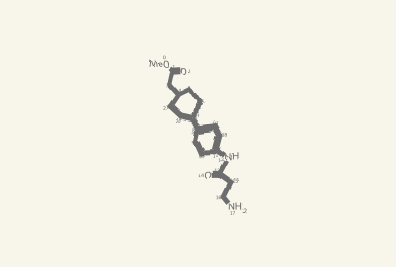 COC(=O)CC1CCC(c2ccc(NC(=O)CCN)cc2)CC1